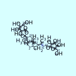 C=C1CC[C@@H]2[C@H](C)[C@@H](C(=O)O[C@@H]3O[C@H](CO)[C@@H](O)[C@H](O)[C@H]3O)CC[C@@]2(C)[C@@H]1CC/C(C)=C/CO[C@@H]1O[C@H](CO)[C@@H](O)[C@H](O)[C@H]1O